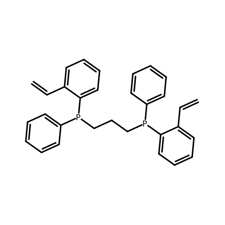 C=Cc1ccccc1P(CCCP(c1ccccc1)c1ccccc1C=C)c1ccccc1